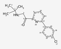 CC(C)(C)NCC(=O)c1cccc(-c2ccc(Cl)cc2)n1